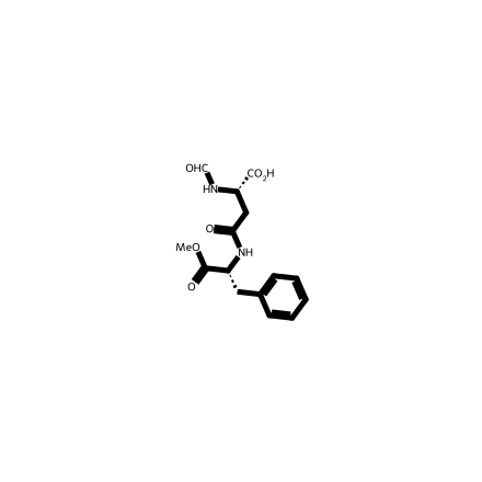 COC(=O)[C@@H](Cc1ccccc1)NC(=O)C[C@H](NC=O)C(=O)O